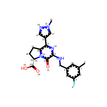 Cc1cc(F)cc(CNc2nc(-c3cnn(C)c3)c3n(c2=O)[C@H](C(=O)O)CC3)c1